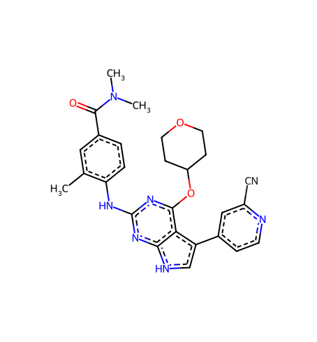 Cc1cc(C(=O)N(C)C)ccc1Nc1nc(OC2CCOCC2)c2c(-c3ccnc(C#N)c3)c[nH]c2n1